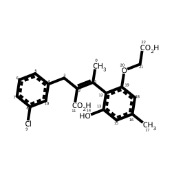 C/C(=C(\Cc1cccc(Cl)c1)C(=O)O)c1c(O)cc(C)cc1OCC(=O)O